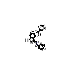 O=C(Nc1ccc2[nH]nc(/C=C/c3cccnc3)c2c1)c1cnccn1